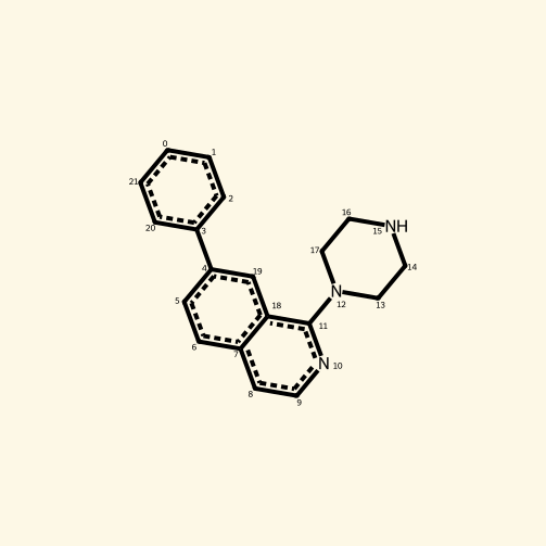 c1ccc(-c2ccc3ccnc(N4CCNCC4)c3c2)cc1